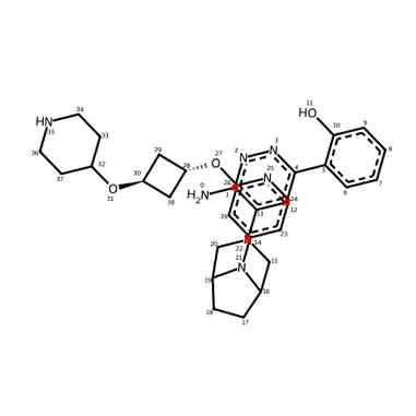 Nc1nnc(-c2ccccc2O)cc1N1CC2CCC(C1)N2c1ccnc(O[C@H]2C[C@H](OC3CCNCC3)C2)c1